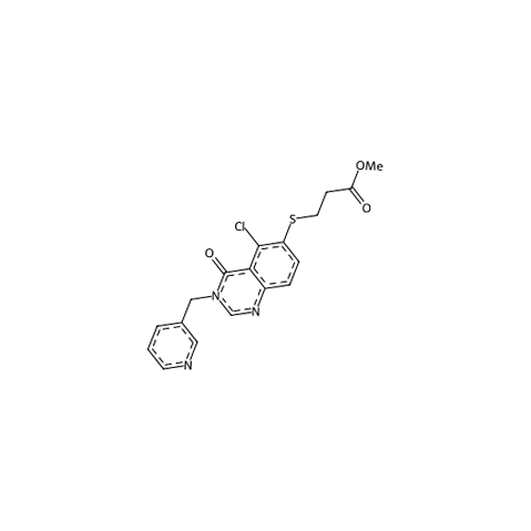 COC(=O)CCSc1ccc2ncn(Cc3cccnc3)c(=O)c2c1Cl